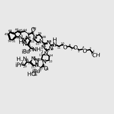 C#CCOCCOCCOCCNc1nc(N2CCN(C(=O)[C@H]([C@@H](C)CC)n3cc([C@@H](N)CC(C)C)nn3)CC2)nc(N2CCN(C(=O)[C@H](Cc3cc4ccccc4[nH]3)n3cc([C@@H](N)C(C)CC)nn3)CC2)n1.Cl